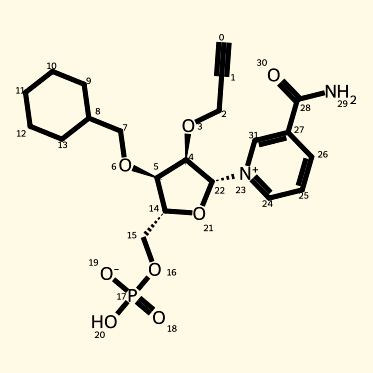 C#CCO[C@@H]1[C@H](OCC2CCCCC2)[C@@H](COP(=O)([O-])O)O[C@H]1[n+]1cccc(C(N)=O)c1